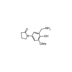 COc1cc(N2CCCC2=O)cc(CN)c1O